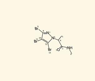 CNC(=O)C(C)n1nc(Br)c(Br)c1Br